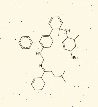 CC1CC(C(C)(C)C)C=CC1NC1(C)C=CC=CC1C1=CC(c2ccccc2)=C(NC/N=C(\CCN(C)C)C2C=CCCC2)CC1